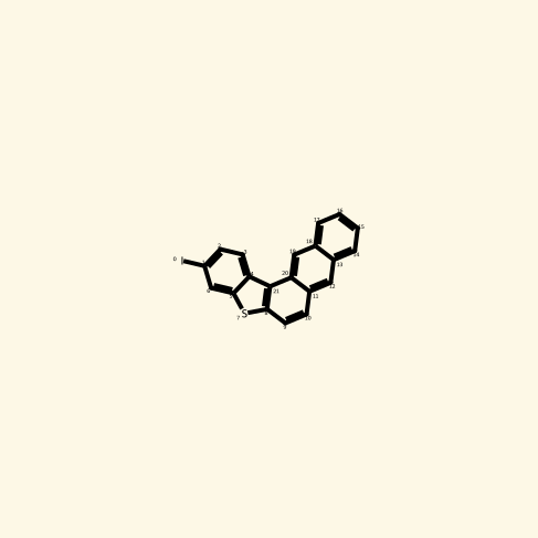 Ic1ccc2c(c1)sc1ccc3cc4ccccc4cc3c12